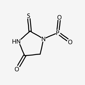 O=C1CN(P(=O)=O)C(=S)N1